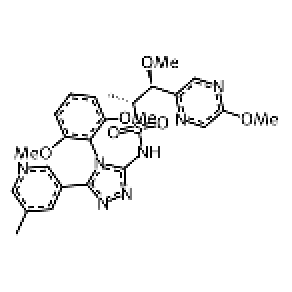 COc1cnc([C@H](OC)[C@@H](C)S(=O)(=O)Nc2nnc(-c3cncc(C)c3)n2-c2c(OC)cccc2OC)cn1